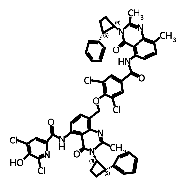 Cc1ccc(NC(=O)c2cc(Cl)c(OCc3ccc(NC(=O)c4cc(Cl)c(O)c(Cl)n4)c4c(=O)n([C@@H]5CC[C@H]5c5ccccc5)c(C)nc34)c(Cl)c2)c2c(=O)n([C@@H]3CC[C@H]3c3ccccc3)c(C)nc12